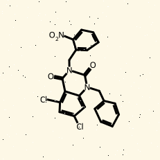 O=c1c2c(Cl)cc(Cl)cc2n(Cc2ccccc2)c(=O)n1Cc1ccccc1[N+](=O)[O-]